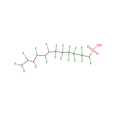 O=S(=O)(O)C(F)C(F)(F)C(F)(F)C(F)(F)C(F)(F)C(F)(F)C(F)C(F)C(F)C(F)C(F)C(F)F